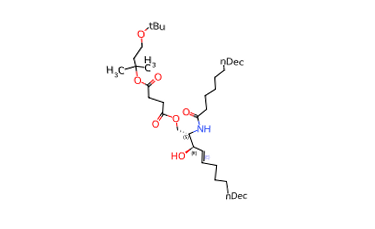 CCCCCCCCCCCCC/C=C/[C@@H](O)[C@H](COC(=O)CCC(=O)OC(C)(C)CCOC(C)(C)C)NC(=O)CCCCCCCCCCCCCCC